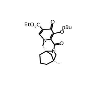 CCCCOc1c2n(cc(C(=O)OCC)c1=O)C[C@]13CCC[C@](C)(CN1C2=O)C3